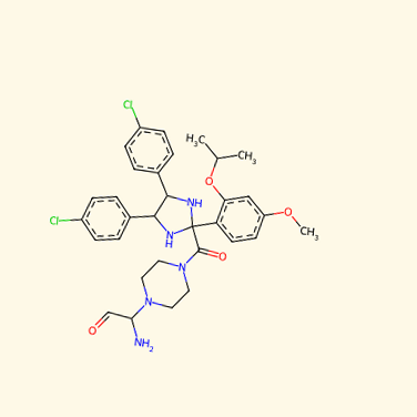 COc1ccc(C2(C(=O)N3CCN(C(N)C=O)CC3)NC(c3ccc(Cl)cc3)C(c3ccc(Cl)cc3)N2)c(OC(C)C)c1